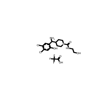 NC(c1cc(Cl)c(Cl)cc1O)C1CCN(C(=O)NCCO)CC1.O=C(O)C(F)(F)F